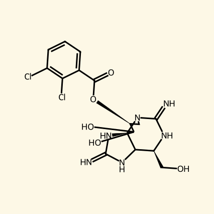 N=C1NC2[C@H](CO)NC(=N)N3C[C@H](OC(=O)c4cccc(Cl)c4Cl)C(O)(O)[C@]23N1